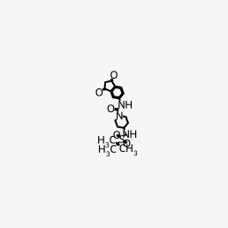 CC(C)(C)S(=O)(=O)NC1CCN(C(=O)Nc2ccc3c(c2)C(=O)CC3=O)CC1